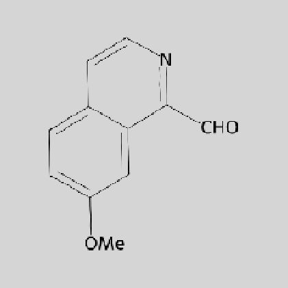 COc1ccc2ccnc(C=O)c2c1